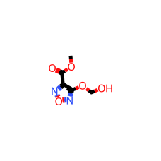 COC(=O)c1nonc1OCO